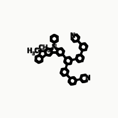 CC1(C)c2ccccc2-c2cc3c4cc(-c5cc(-c6cccc(-c7cccc(-c8ccncc8)c7)c6)cc(-c6cccc(-c7cccc(-c8ccncc8)c7)c6)c5)ccc4n(-c4ccccc4)c3cc21